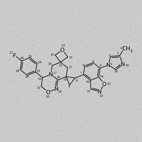 Cc1cn(-c2ccc(C3CC34CC3(COC3)CN3C4=NOCC3c3ccc(F)cc3)c3cnoc23)cn1